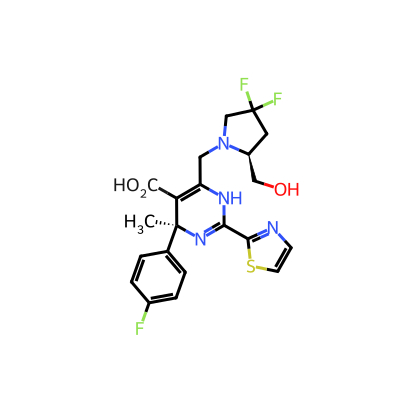 C[C@@]1(c2ccc(F)cc2)N=C(c2nccs2)NC(CN2CC(F)(F)C[C@H]2CO)=C1C(=O)O